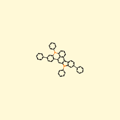 c1ccc(-c2ccc3c(c2)P(c2ccccc2)c2cccc4c2c-3cc2c4c3ccc(-c4ccccc4)cc3p2-c2ccccc2)cc1